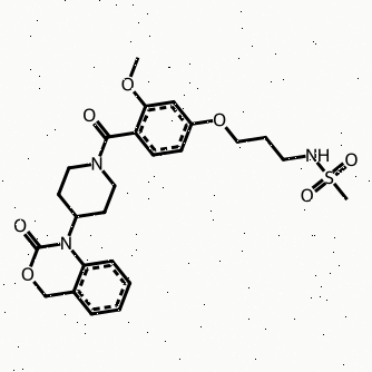 COc1cc(OCCCNS(C)(=O)=O)ccc1C(=O)N1CCC(N2C(=O)OCc3ccccc32)CC1